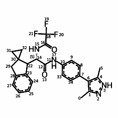 Cc1n[nH]c(C)c1-c1ccc(NC(=O)[C@@H](NC(=O)C(F)(F)F)C2c3ccccc3CC23CC3)cc1